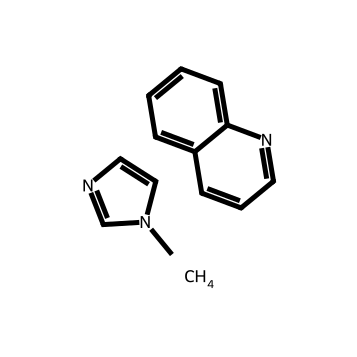 C.Cn1ccnc1.c1ccc2ncccc2c1